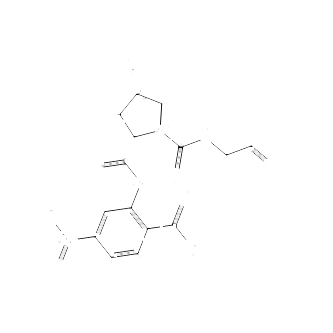 C=CCOC(=O)N1C[C@@H](S)C[C@H]1C(=O)Nc1cc([N+](=O)[O-])ccc1C(=O)O